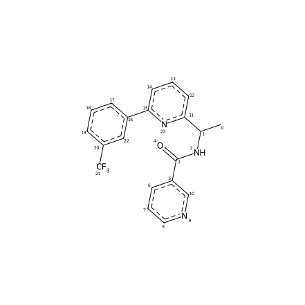 CC(NC(=O)c1cccnc1)c1cccc(-c2cccc(C(F)(F)F)c2)n1